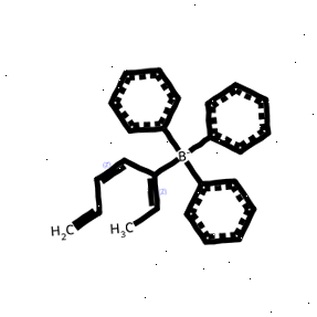 C=C/C=C\C(=C/C)[B-](c1ccccc1)(c1ccccc1)c1ccccc1